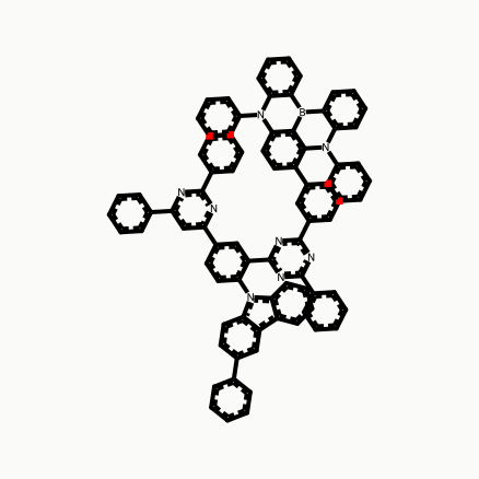 c1ccc(-c2ccc3c(c2)c2ccccc2n3-c2ccc(-c3cc(-c4ccccc4)nc(-c4ccccc4)n3)cc2-c2nc(-c3ccccc3)nc(-c3cccc(-c4ccc5c6c4N(c4ccccc4)c4ccccc4B6c4ccccc4N5c4ccccc4)c3)n2)cc1